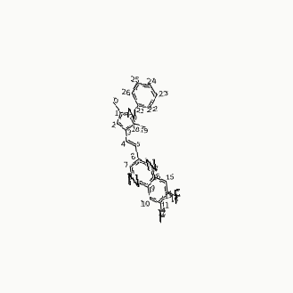 Cc1cc(/C=C/c2cnc3cc(F)c(F)cc3n2)c(C)n1-c1ccccc1